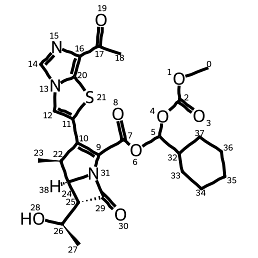 COC(=O)OC(OC(=O)C1=C(c2cn3cnc(C(C)=O)c3s2)[C@H](C)[C@@H]2[C@@H]([C@@H](C)O)C(=O)N12)C1CCCCC1